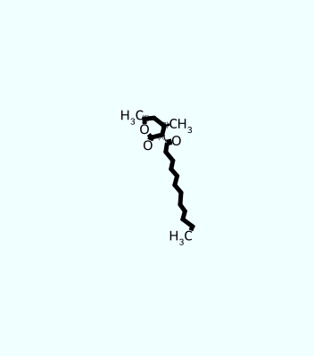 CCCCCCCCCCCC(=O)[C@@H]1C(=O)O[C@@H](C)C[C@H]1C